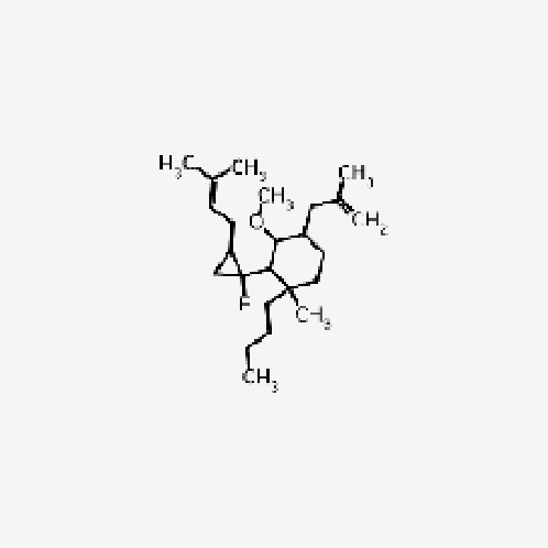 C=C(C)CC1CCC(C)(CCCC)C(C2(F)CC2CC=C(C)C)C1OC